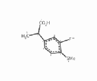 CSc1ccc(C(C)C(=O)O)cc1F